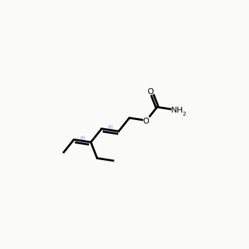 C/C=C(/C=C/COC(N)=O)CC